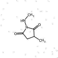 CNN1C(=O)CC(C)C1=O